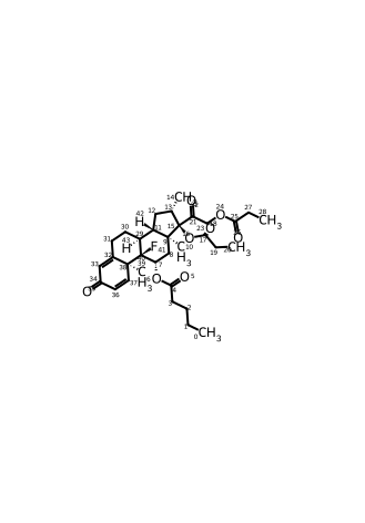 CCCCC(=O)O[C@H]1C[C@@]2(C)[C@@H](C[C@H](C)[C@]2(OC(=O)CC)C(=O)COC(=O)CC)[C@@H]2CCC3=CC(=O)C=C[C@]3(C)[C@@]12F